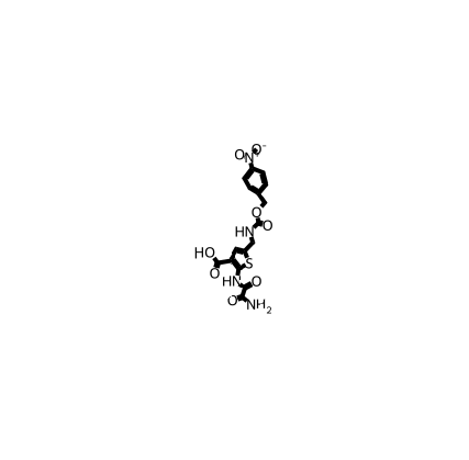 NC(=O)C(=O)Nc1sc(CNC(=O)OCc2ccc([N+](=O)[O-])cc2)cc1C(=O)O